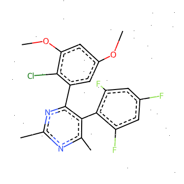 COc1cc(OC)c(Cl)c(-c2nc(C)nc(C)c2-c2c(F)cc(F)cc2F)c1